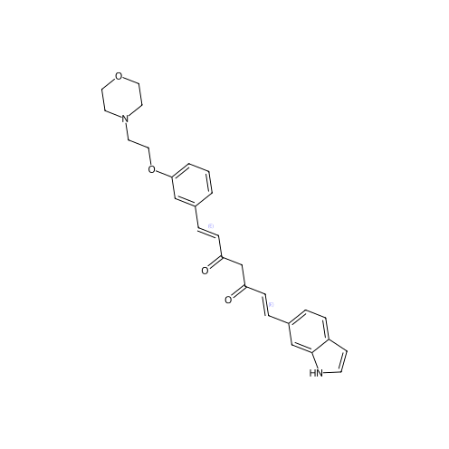 O=C(/C=C/c1cccc(OCCN2CCOCC2)c1)CC(=O)/C=C/c1ccc2cc[nH]c2c1